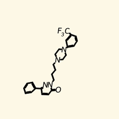 O=c1ccc(-c2ccccc2)nn1CCCCN1CCN(c2cccc(C(F)(F)F)c2)CC1